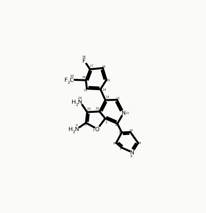 Nc1oc2c(-c3ccncc3)ncc(-c3ccc(F)c(C(F)(F)F)c3)c2c1N